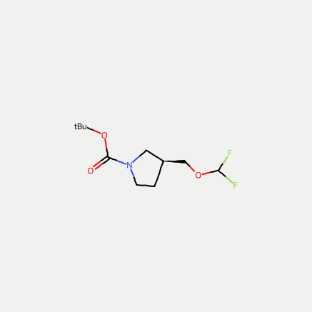 CC(C)(C)OC(=O)N1CC[C@H](COC(F)F)C1